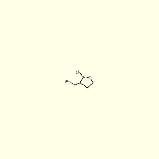 CC(C)CC1CCOC1Cl